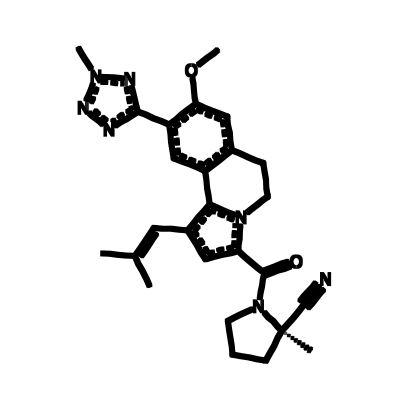 COc1cc2c(cc1-c1nnn(C)n1)-c1c(C=C(C)C)cc(C(=O)N3CCC[C@]3(C)C#N)n1CC2